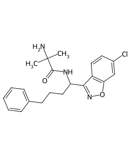 CC(C)(N)C(=O)NC(CCCc1ccccc1)c1noc2cc(Cl)ccc12